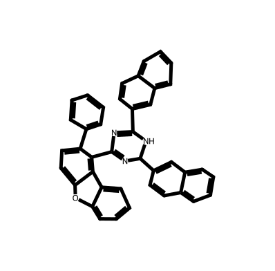 c1ccc(-c2ccc3oc4ccccc4c3c2C2=NC(c3ccc4ccccc4c3)NC(c3ccc4ccccc4c3)=N2)cc1